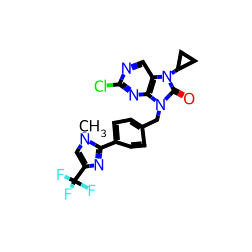 Cn1cc(C(F)(F)F)nc1-c1ccc(Cn2c(=O)n(C3CC3)c3cnc(Cl)nc32)cc1